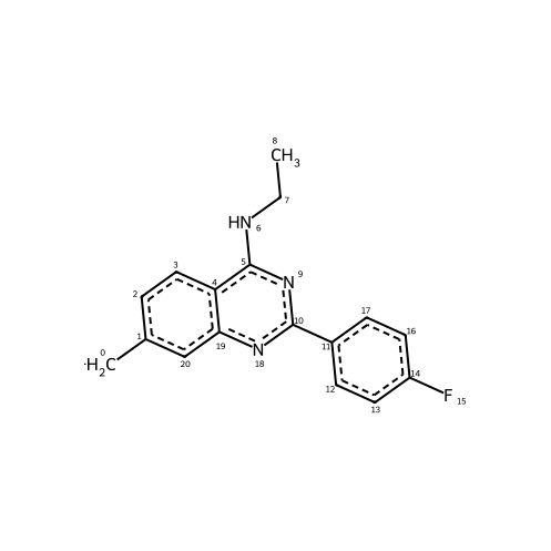 [CH2]c1ccc2c(NCC)nc(-c3ccc(F)cc3)nc2c1